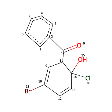 O=C(c1ccccc1)C1C=C(Br)C=CC1(O)Cl